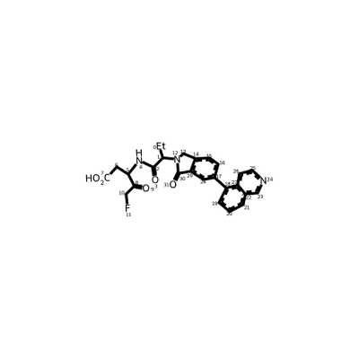 CCC(C(=O)NC(CC(=O)O)C(=O)CF)N1Cc2ccc(-c3cccc4cnccc34)cc2C1=O